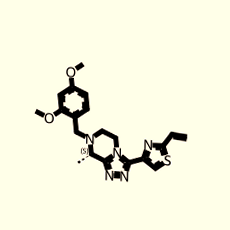 C=Cc1nc(-c2nnc3n2CCN(Cc2ccc(OC)cc2OC)[C@H]3C)cs1